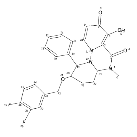 CN1C(=O)c2c(O)c(=O)ccn2N2C(c3ccccc3)C(OCc3ccc(F)c(F)c3)CCC12